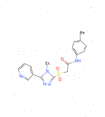 CCn1c(-c2cccnc2)nnc1S(=O)(=O)CC(=O)Nc1ccc(C(C)C)cc1